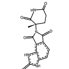 C[C@]1(N2C(=O)c3ccc4[nH]c(=S)[nH]c4c3C2=O)CCC(=O)NC1=O